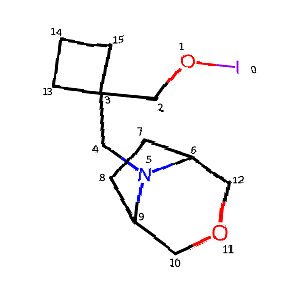 IOCC1(CN2C3CCC2COC3)CCC1